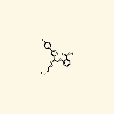 CCCO/N=C(\COc1ccccc1C(=O)O)c1cc(-c2ccc(F)cc2)no1